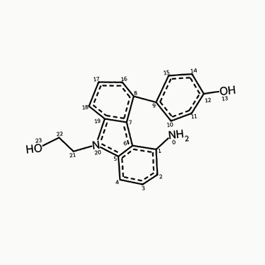 Nc1cccc2c1c1c(-c3ccc(O)cc3)cccc1n2CCO